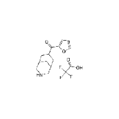 O=C(O)C(F)(F)F.O=C(c1ccco1)C1CC2CNCC(C2)C1